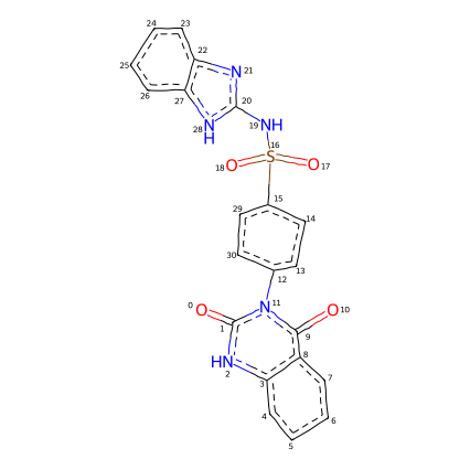 O=c1[nH]c2ccccc2c(=O)n1-c1ccc(S(=O)(=O)Nc2nc3ccccc3[nH]2)cc1